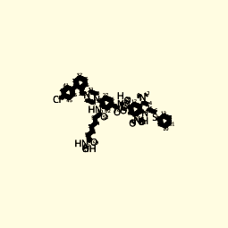 CN(C)CC[C@H](CSc1ccccc1)Nc1ccc(S(=O)(=O)NC(=O)c2ccc(N3CCN(Cc4ccccc4-c4ccc(Cl)cc4)CC3)c(NC(=O)CCCCCC(=O)NO)c2)cc1[N+](=O)[O-]